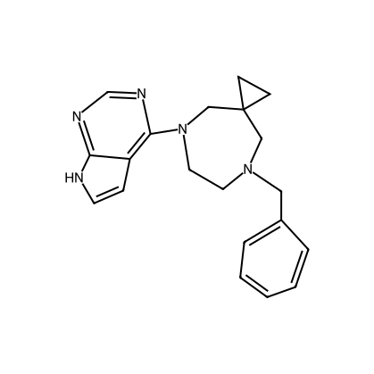 c1ccc(CN2CCN(c3ncnc4[nH]ccc34)CC3(CC3)C2)cc1